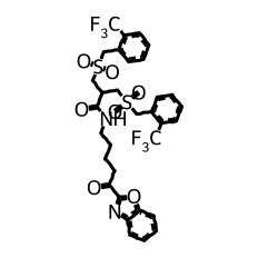 O=C(CCCCNC(=O)C(CS(=O)(=O)Cc1ccccc1C(F)(F)F)CS(=O)(=O)Cc1ccccc1C(F)(F)F)c1nc2ccccc2o1